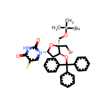 CC(C)(C)[Si](C)(C)OC[C@@]1(CBr)O[C@@H](n2cc(F)c(=O)[nH]c2=O)C[C@@H]1OC(c1ccccc1)(c1ccccc1)c1ccccc1